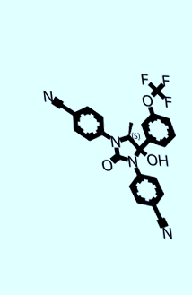 C[C@@H]1N(c2ccc(C#N)cc2)C(=O)N(c2ccc(C#N)cc2)C1(O)c1cccc(OC(F)(F)F)c1